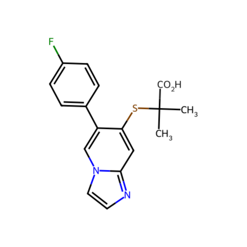 CC(C)(Sc1cc2nccn2cc1-c1ccc(F)cc1)C(=O)O